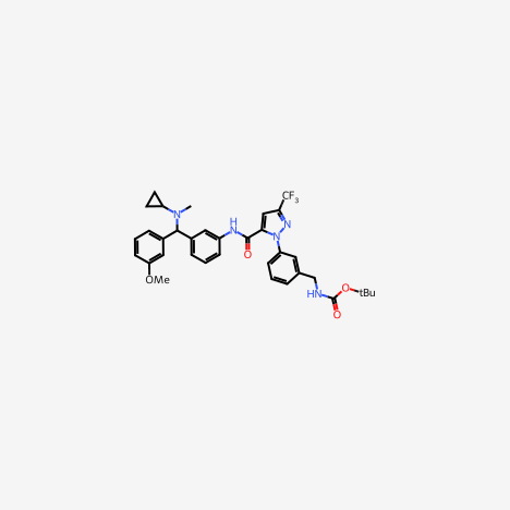 COc1cccc(C(c2cccc(NC(=O)c3cc(C(F)(F)F)nn3-c3cccc(CNC(=O)OC(C)(C)C)c3)c2)N(C)C2CC2)c1